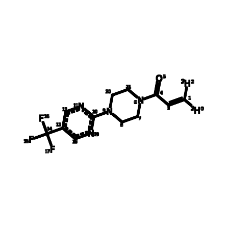 [2H]C([2H])=CC(=O)N1CCN(c2ncc(C(F)(F)F)cn2)CC1